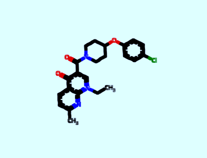 CCn1cc(C(=O)N2CCC(Oc3ccc(Cl)cc3)CC2)c(=O)c2ccc(C)nc21